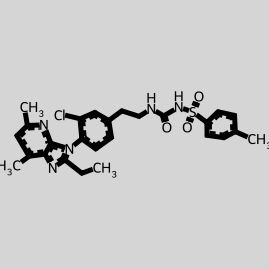 CCc1nc2c(C)cc(C)nc2n1-c1ccc(CCNC(=O)NS(=O)(=O)c2ccc(C)cc2)cc1Cl